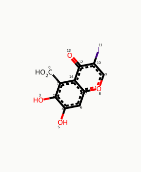 O=C(O)c1c(O)c(O)cc2occ(I)c(=O)c12